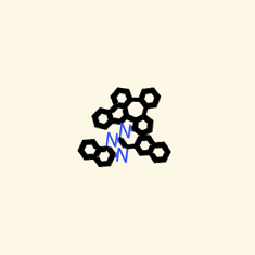 c1ccc2c(c1)-c1cccc3c4ccccc4c4c(c13)c1c-2cccc1n4-c1nc2c(ccc3ccccc32)nc1-c1ccc2ccccc2c1